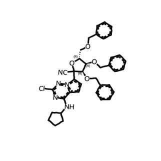 N#CC1(c2ccc3c(NC4CCCC4)nc(Cl)nn23)O[C@H](COCc2ccccc2)[C@@H](OCc2ccccc2)[C@H]1OCc1ccccc1